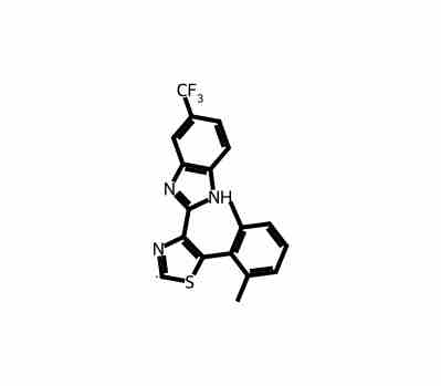 Cc1cccc(C)c1-c1s[c]nc1-c1nc2cc(C(F)(F)F)ccc2[nH]1